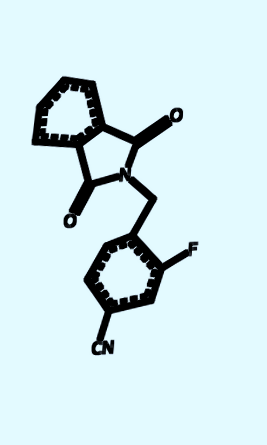 N#Cc1ccc(CN2C(=O)c3ccccc3C2=O)c(F)c1